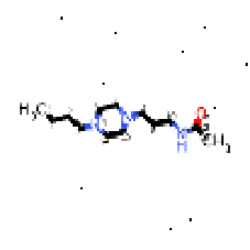 CCCCN1CCN(CCCNC(C)=O)CC1